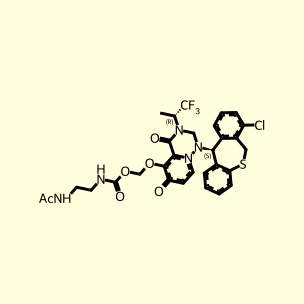 CC(=O)NCCNC(=O)OCOc1c2n(ccc1=O)N([C@@H]1c3ccccc3SCc3c(Cl)cccc31)CN([C@H](C)C(F)(F)F)C2=O